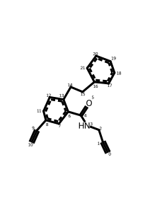 C#CCNC(=O)c1cc(C#C)ccc1CCc1ccccc1